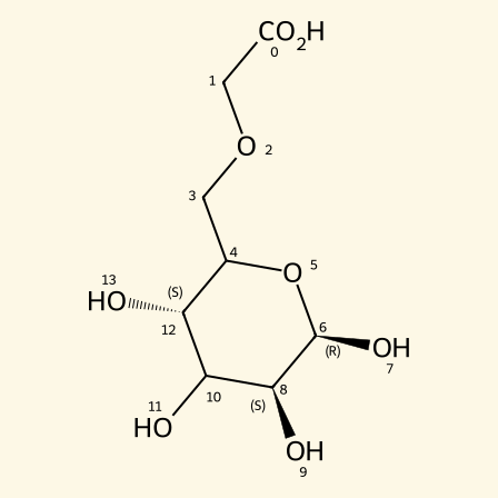 O=C(O)COCC1O[C@@H](O)[C@@H](O)C(O)[C@@H]1O